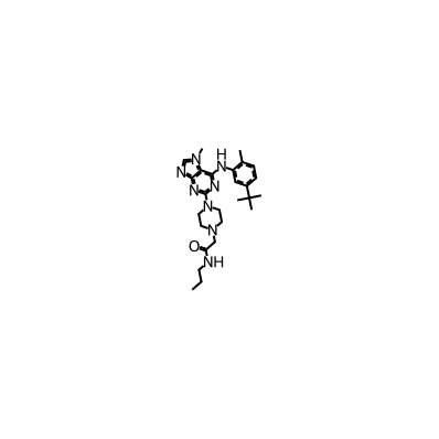 CCCNC(=O)CN1CCN(c2nc(Nc3cc(C(C)(C)C)ccc3C)c3c(ncn3C)n2)CC1